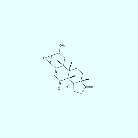 CC(=O)OC1C[C@@]2(C)C(=CC(=O)[C@@H]3[C@H]2CC[C@]2(C)C(=O)CC[C@@H]32)C2OC12